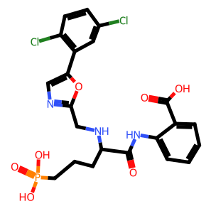 O=C(O)c1ccccc1NC(=O)C(CCCP(=O)(O)O)NCc1ncc(-c2cc(Cl)ccc2Cl)o1